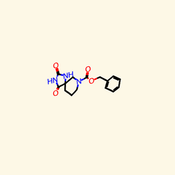 O=C1NC(=O)C2(CCCN(C(=O)OCc3ccccc3)C2)N1